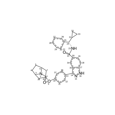 O=CN1C2CCC1CC(Oc1ccc(-c3n[nH]c4ccc(C(=O)N[C@H](c5ccccc5)C5CC5)cc34)cc1)C2